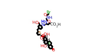 C[C@]12C=CC(=O)C=C1CC[C@H]1[C@@H]3C[C@H]4O[C@@H](c5ccc(Cc6ccc(NC[C@H](CCC(=O)O)NC(=O)CNC(=O)CBr)c(CO)c6)s5)O[C@@]4(C(=O)CO)[C@@]3(C)C[C@H](O)[C@@]12F